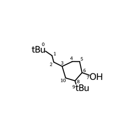 CC(C)(C)CCC1CCC(O)C(C(C)(C)C)C1